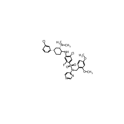 COc1ccc(CN(c2ccncn2)S(=O)(=O)c2cc(Cl)c(NC3CC[C@H](c4cccc(Cl)c4)C[C@@H]3N(C)C)cc2F)c(OC)c1